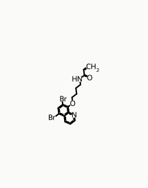 C=CC(=O)NCCCCOc1c(Br)cc(Br)c2cccnc12